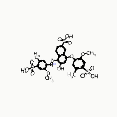 COc1cc(S(=O)(=O)O)c(C)cc1/N=N/c1c(O)cc(Oc2cc(C)c(S(=O)(=O)O)cc2OC)c2cc(S(=O)(=O)O)ccc12